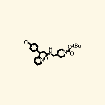 CC(C)(C)OC(=O)N1CCC(CNC(=O)CC(c2ccc(Cl)cc2)c2ccccn2)CC1